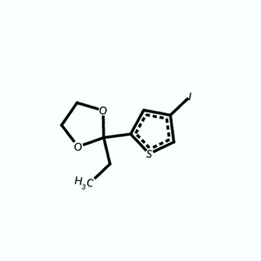 CCC1(c2cc(I)cs2)OCCO1